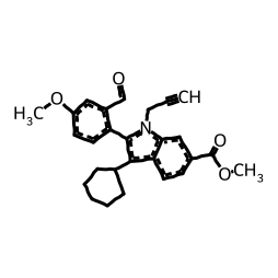 C#CCn1c(-c2ccc(OC)cc2C=O)c(C2CCCCC2)c2ccc(C(=O)OC)cc21